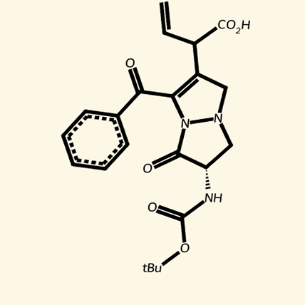 C=CC(C(=O)O)C1=C(C(=O)c2ccccc2)N2C(=O)[C@@H](NC(=O)OC(C)(C)C)CN2C1